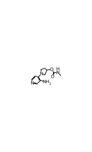 CNC(=O)OC1CCN(c2ccncc2N)C1